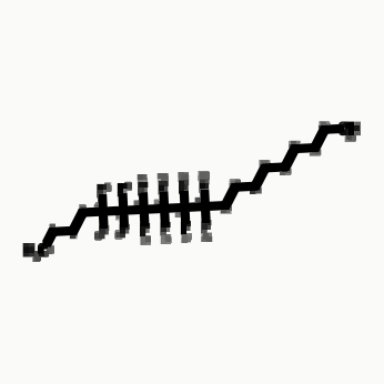 CCCCC(F)(F)C(F)(F)C(F)(F)C(F)(F)C(F)(F)C(F)(F)CCCCCCCCO